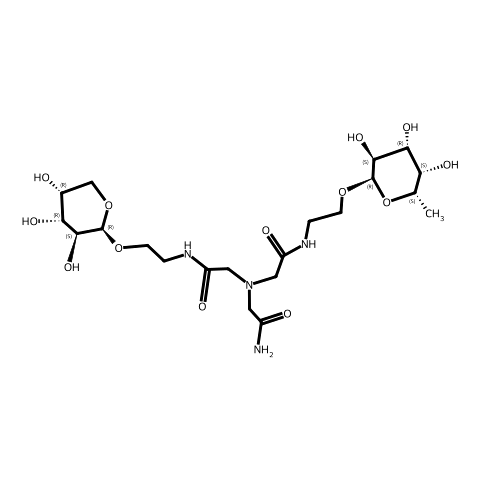 C[C@@H]1O[C@@H](OCCNC(=O)CN(CC(N)=O)CC(=O)NCCO[C@@H]2OC[C@@H](O)[C@@H](O)[C@@H]2O)[C@@H](O)[C@H](O)[C@@H]1O